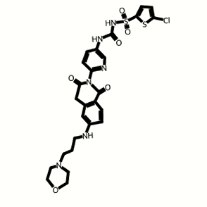 O=C(Nc1ccc(N2C(=O)Cc3cc(NCCCN4CCOCC4)ccc3C2=O)nc1)NS(=O)(=O)c1ccc(Cl)s1